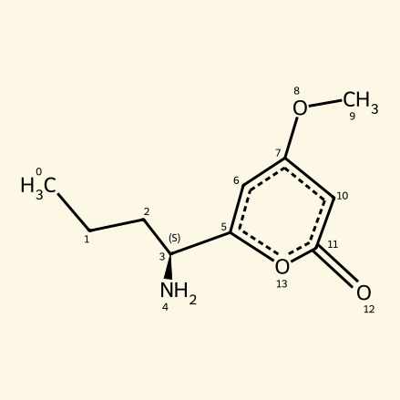 CCC[C@H](N)c1cc(OC)cc(=O)o1